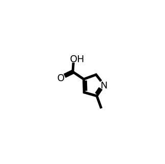 CC1=NCC(C(=O)O)=C1